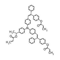 C=CC(=O)Oc1ccc(C(=Cc2ccc(N(c3ccc(C=C(c4ccccc4)c4ccc(OC(=O)C=C)cc4)cc3)c3ccc(C(C)OC(=O)C=C)cc3)cc2)c2ccccc2)cc1